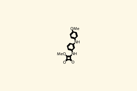 COc1ccc(Nc2cccc(Nc3c(OC)c(=O)c3=O)c2)cc1